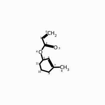 C=CC(=O)OC1C=C(C)CCC1